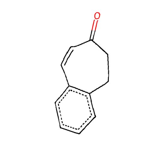 O=C1C=Cc2ccccc2CC1